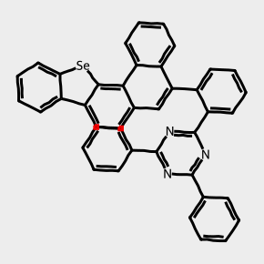 c1ccc(-c2nc(-c3ccccc3)nc(-c3ccccc3-c3cc4ccc5c6ccccc6[se]c5c4c4ccccc34)n2)cc1